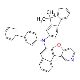 CC1(C)c2ccccc2-c2ccc(N(c3ccc(-c4ccccc4)cc3)c3cc4ccccc4c4c3oc3ccncc34)cc21